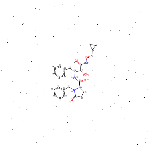 O=C(NOCC1CC1)C(O)C(Cc1ccccc1)NC(=O)[C@H]1CCC(=O)N1Cc1ccccc1